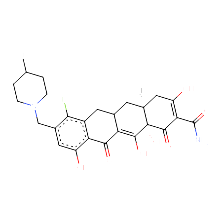 CC(C)C1CCN(Cc2cc(O)c3c(c2F)CC2C[C@H]4CC(O)=C(C(N)=O)C(=O)[C@@]4(O)C(O)=C2C3=O)CC1